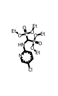 CCOP(=O)(OCC)C(Nc1ccc(Cl)cn1)P(=O)(OCC)OCC